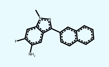 Cn1nc(-c2ccc3ccccc3c2)c2cc(N)c(F)cc21